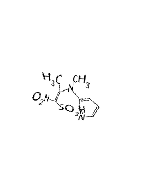 CC(=C([N+](=O)[O-])S(=O)(=O)O)N(C)c1cccnc1